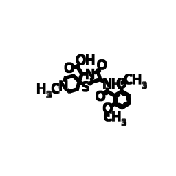 COc1cccc(OC)c1C(=O)NC1C(=O)N2C1SC1(CCN(C)CC1)C2C(=O)O